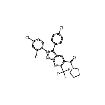 O=C(c1cc2c(-c3ccc(Cl)cc3)n(-c3ccc(Cl)cc3Cl)nc2nc1C(F)(F)F)N1CCCC1